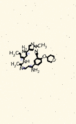 C=C/C=C(\C=C(/N)c1cnn(C)c1)NC(=C)/N=C\C=C(/N)c1ccc(OC2CCOCC2)c(C#N)c1